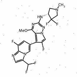 COc1nc(N[C@@H]2CN(C)CC2(F)F)nn2cc(F)c(-c3cc(F)c4ncc(C(F)F)n4c3)c12